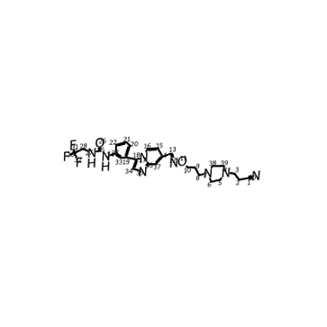 N#CCCN1CCN(CCCON=Cc2ccn3c(-c4cccc(NC(=O)NCC(F)(F)F)c4)cnc3c2)CC1